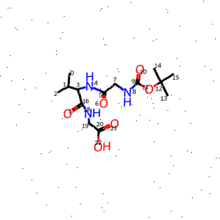 CC(C)C(NC(=O)CNC(=O)OC(C)(C)C)C(=O)NCC(=O)O